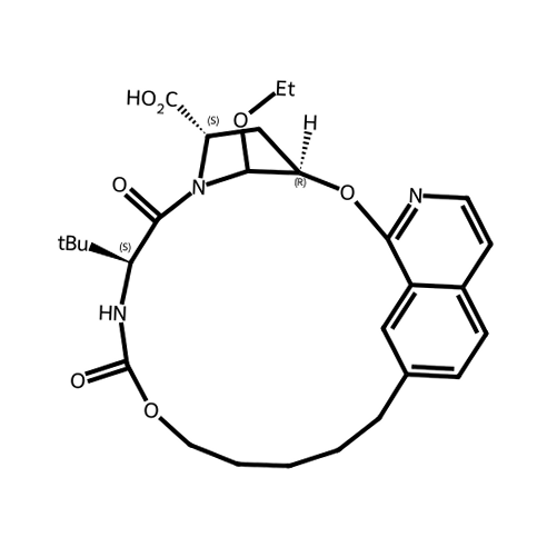 CCOC1[C@H]2C[C@@H](C(=O)O)N1C(=O)[C@H](C(C)(C)C)NC(=O)OCCCCCc1ccc3ccnc(c3c1)O2